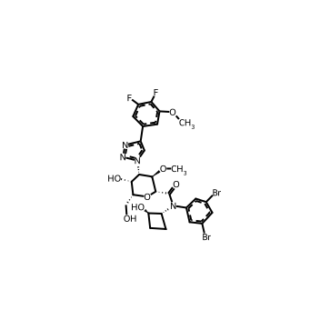 COc1cc(-c2cn([C@H]3[C@@H](O)[C@@H](CO)O[C@@H](C(=O)N(c4cc(Br)cc(Br)c4)[C@@H]4CC[C@H]4O)[C@@H]3OC)nn2)cc(F)c1F